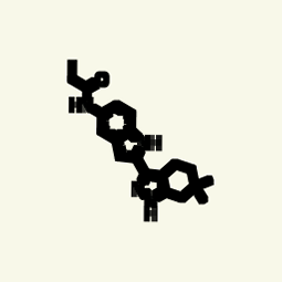 CCC(=O)Nc1ccc2[nH]c(-c3n[nH]c4c3CCC(C)(C)C4)cc2c1